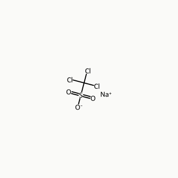 O=S(=O)([O-])C(Cl)(Cl)Cl.[Na+]